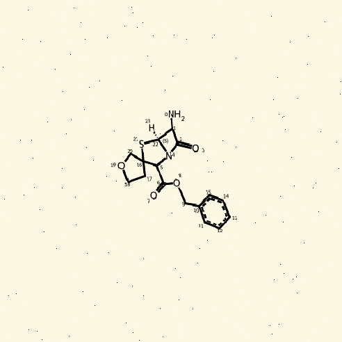 NC1C(=O)N2C(C(=O)OCc3ccccc3)C3(CCOC3)S[C@@H]12